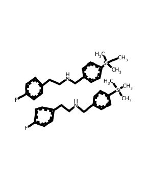 C[Si](C)(C)c1ccc(CNCCc2ccc(F)cc2)cc1.C[Si](C)(C)c1ccc(CNCCc2ccc(F)cc2)cc1